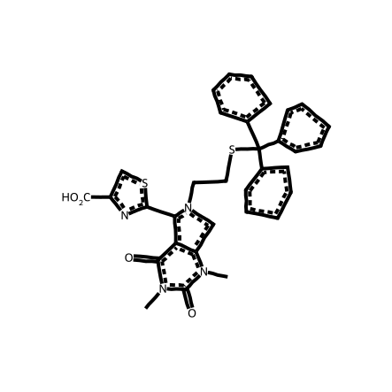 Cn1c(=O)c2c(-c3nc(C(=O)O)cs3)n(CCSC(c3ccccc3)(c3ccccc3)c3ccccc3)cc2n(C)c1=O